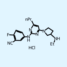 CCCc1cc(N2CCC(NCC)C2)nc(Nc2ccc(F)c(C#N)c2)n1.Cl